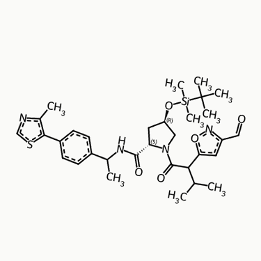 Cc1ncsc1-c1ccc(C(C)NC(=O)[C@@H]2C[C@@H](O[Si](C)(C)C(C)(C)C)CN2C(=O)C(c2cc(C=O)no2)C(C)C)cc1